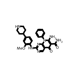 COc1cc(C2CCNCC2)ccc1Nc1ncc2c(=O)c(C(N)=O)c(N)n(-c3ccccc3)c2n1